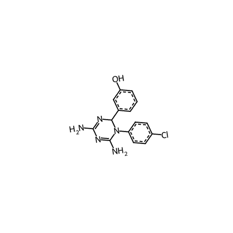 NC1=NC(c2cccc(O)c2)N(c2ccc(Cl)cc2)C(N)=N1